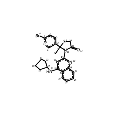 CC1(c2ccc(Br)cc2)SCC(=O)N1c1nc(NC2CCCC2)c2ccccc2n1